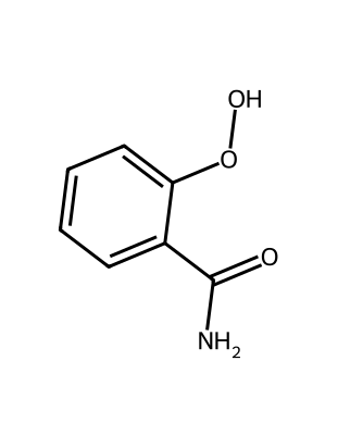 NC(=O)c1ccccc1OO